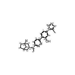 Cc1nnnn1-c1ccc(-c2ccc(N(C)[C@H]3CC4CC[C@@H](C4)C3)nn2)c(O)c1